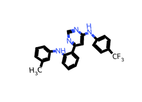 Cc1cccc(Nc2ccccc2-c2cc(Nc3ccc(C(F)(F)F)cc3)ncn2)c1